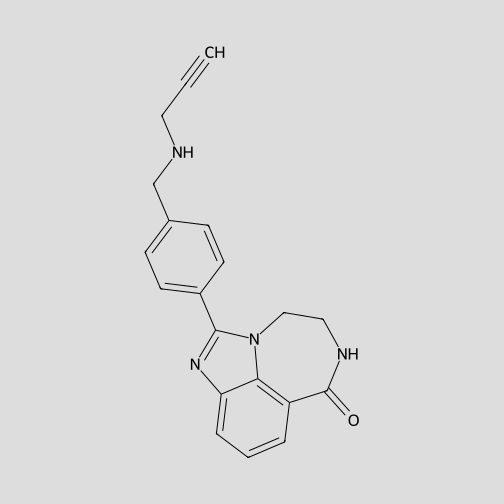 C#CCNCc1ccc(-c2nc3cccc4c3n2CCNC4=O)cc1